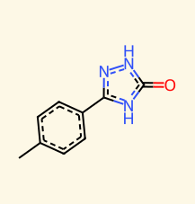 Cc1ccc(-c2n[nH]c(=O)[nH]2)cc1